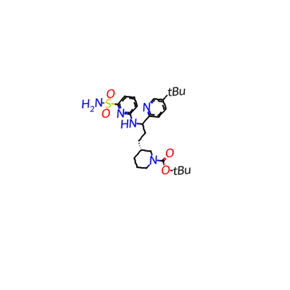 CC(C)(C)OC(=O)N1CCC[C@H](CCC(Nc2cccc(S(N)(=O)=O)n2)c2ccc(C(C)(C)C)cn2)C1